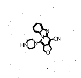 N#Cc1c2c(c(N3CCNCC3)n3c1nc1ccccc13)COC2